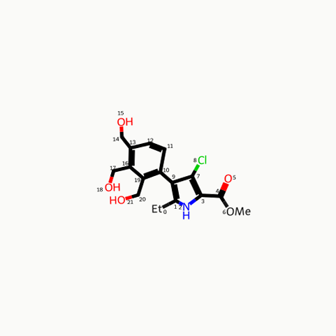 CCc1[nH]c(C(=O)OC)c(Cl)c1-c1ccc(CO)c(CO)c1CO